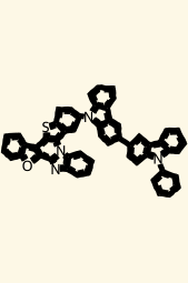 c1ccc(-n2c3ccccc3c3cc(-c4ccc5c(c4)c4ccccc4n5-c4ccc5sc6c7c8ccccc8oc7c7nc8ccccc8n7c6c5c4)ccc32)cc1